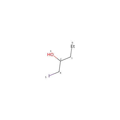 CCCC(O)CI